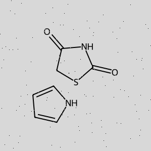 O=C1CSC(=O)N1.c1cc[nH]c1